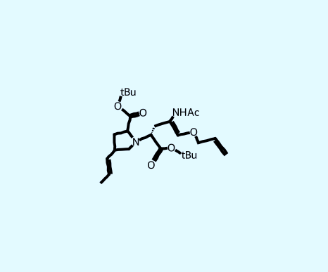 C=CCOC=C(C[C@H](C(=O)OC(C)(C)C)N1CC(C=CC)CC1C(=O)OC(C)(C)C)NC(C)=O